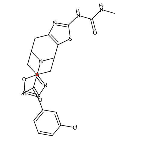 CNC(=O)Nc1nc2c(s1)C1CN(C(C)=O)CC(C2)N1c1nc(-c2cccc(Cl)c2)no1